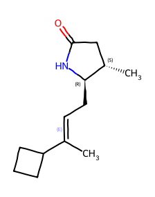 C/C(=C\C[C@H]1NC(=O)C[C@@H]1C)C1CCC1